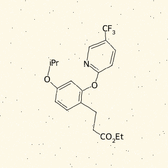 CCOC(=O)CCc1ccc(OC(C)C)cc1Oc1ccc(C(F)(F)F)cn1